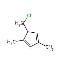 CC1=CC([SiH2]Cl)C(C)=C1